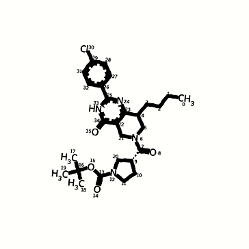 CCCCC1CN(C(=O)[C@@H]2CCN(C(=O)OC(C)(C)C)C2)Cc2c1nc(-c1ccc(Cl)cc1)[nH]c2=O